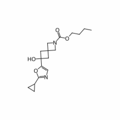 CCCCOC(=O)N1CC2(C1)CC(O)(c1cnc(C3CC3)o1)C2